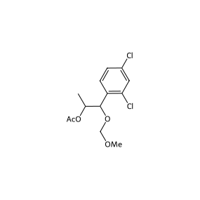 COCOC(c1ccc(Cl)cc1Cl)C(C)OC(C)=O